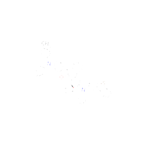 Cc1ccc(N(c2ccccc2)c2ccc3c(c2)oc2c4ccc(N(c5ccc6sc7ccccc7c6c5)c5ccccc5-c5ccccc5)cc4c4ccccc4c32)cc1